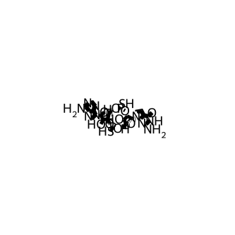 Nc1nc2c(ccn2[C@@H]2O[C@@H]3COP(S)OC4C(O)[C@H](n5cnc6c(N)ncnc65)O[C@@H]4COP(S)OC2C3O)c(=O)[nH]1